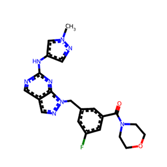 Cn1cc(Nc2ncc3cnn(Cc4cc(F)cc(C(=O)N5CCOCC5)c4)c3n2)cn1